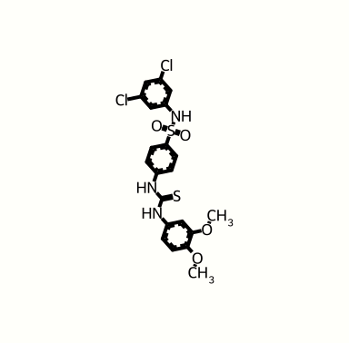 COc1ccc(NC(=S)Nc2ccc(S(=O)(=O)Nc3cc(Cl)cc(Cl)c3)cc2)cc1OC